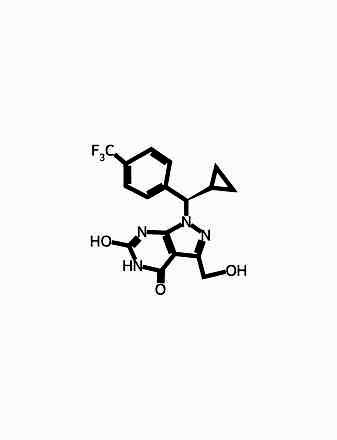 O=c1[nH]c(O)nc2c1c(CO)nn2[C@@H](c1ccc(C(F)(F)F)cc1)C1CC1